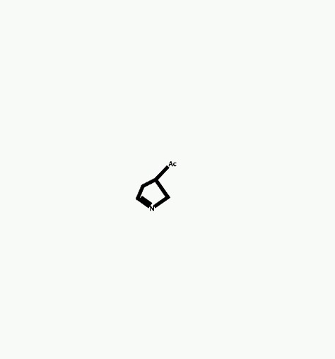 CC(=O)C1CC=NC1